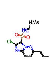 CC=Cc1ccc2nc(Cl)c(S(=O)(=O)/N=C/NC)n2n1